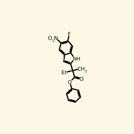 CCC(C)(C(=O)Oc1ccccc1)c1cc2cc([N+](=O)[O-])c(F)cc2[nH]1